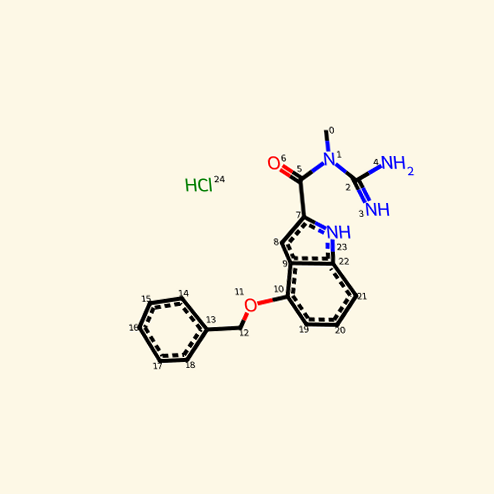 CN(C(=N)N)C(=O)c1cc2c(OCc3ccccc3)cccc2[nH]1.Cl